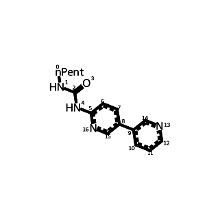 CCCCCNC(=O)Nc1ccc(-c2cccnc2)cn1